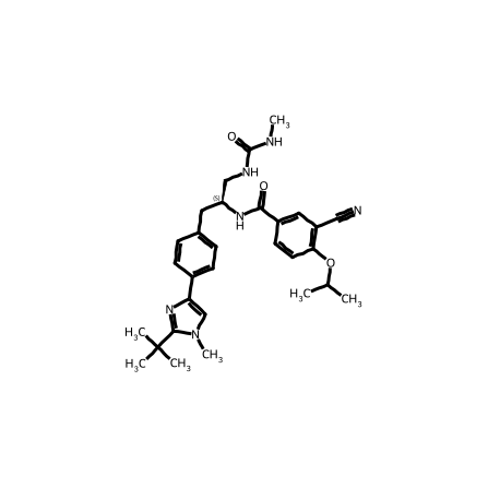 CNC(=O)NC[C@H](Cc1ccc(-c2cn(C)c(C(C)(C)C)n2)cc1)NC(=O)c1ccc(OC(C)C)c(C#N)c1